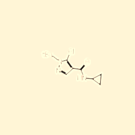 CC(C)(C)n1ncc(C(=O)NC2CC2)c1Cl